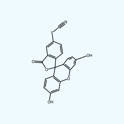 N#CSc1ccc2c(c1)C(=O)OC21c2ccc(O)cc2Oc2cc(O)ccc21